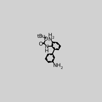 CC(C)(C)OC(=O)Nc1c(N)cccc1-c1cccc(N)c1